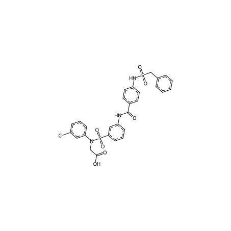 O=C(O)CN(c1cccc(Cl)c1)S(=O)(=O)c1cccc(NC(=O)c2ccc(NS(=O)(=O)Cc3ccccc3)cc2)c1